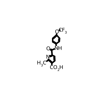 Cc1nc(C(=O)Nc2ccc(OC(F)(F)F)cc2)ccc1C(=O)O